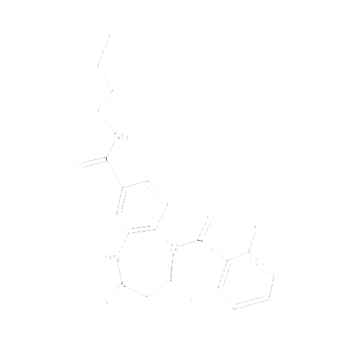 CCCCNC(=O)c1ccc2c(c1)NC(=O)CC(C)N2C(=O)c1ccccc1F